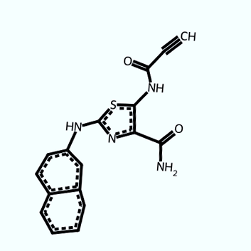 C#CC(=O)Nc1sc(Nc2ccc3ccccc3c2)nc1C(N)=O